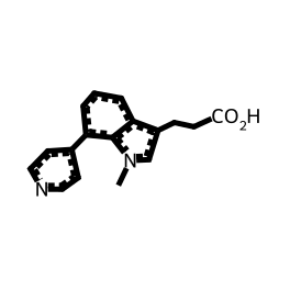 Cn1cc(CCC(=O)O)c2cccc(-c3ccncc3)c21